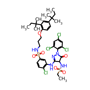 CCC(C)(C)c1ccc(OCCCNS(=O)(=O)c2ccc(Cl)c(NC3=NN(c4c(Cl)cc(Cl)cc4Cl)C(=O)C3NS(=O)(=O)CC)c2)c(C(C)(C)CC)c1